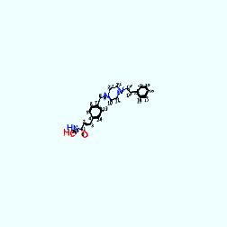 O=C(C=Cc1ccc(CN2CCN(CCc3ccccc3)CC2)cc1)NO